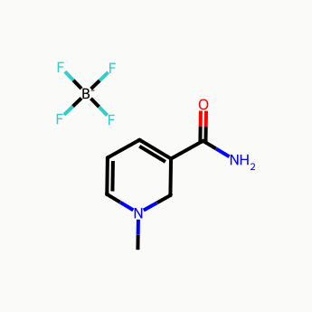 CN1C=CC=C(C(N)=O)C1.F[B-](F)(F)F